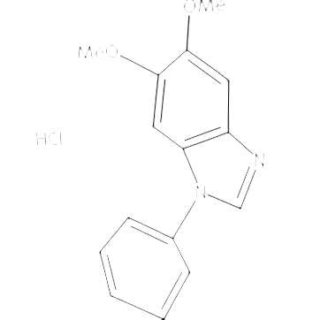 COc1cc2ncn(-c3ccccc3)c2cc1OC.Cl